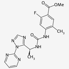 COC(=O)c1cc(C)c(NC(=O)N[C@@H](C)c2ncnn2-c2ncccn2)cc1F